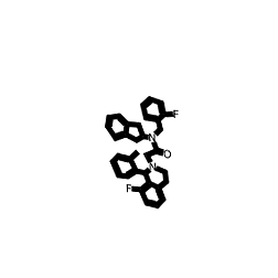 Cc1ccccc1C1c2c(F)cccc2CCN1CC(=O)N(Cc1ccccc1F)C1Cc2ccccc2C1